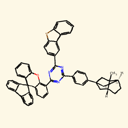 CC12CC3(c4ccc(-c5nc(-c6ccc7sc8ccccc8c7c6)nc(-c6cccc7c6Oc6ccccc6C76c7ccccc7-c7ccccc76)n5)cc4)C[C@H]1CC[C@H]2C3